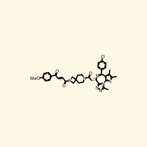 COc1ccc(C(=O)/C=C/C(=O)N2CC3(CCN(C(=O)C[C@@H]4N=C(c5ccc(Cl)cc5)c5c(sc(C)c5C)-n5c(C)nnc54)CC3)C2)cc1